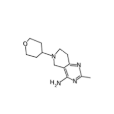 Cc1nc(N)c2c(n1)CCN(C1CCOCC1)C2